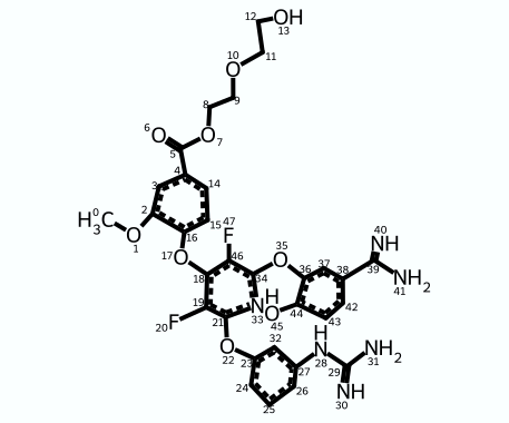 COc1cc(C(=O)OCCOCCO)ccc1Oc1c(F)c(Oc2cccc(NC(=N)N)c2)nc(Oc2cc(C(=N)N)ccc2O)c1F